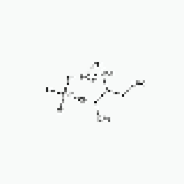 CC(=O)O.CC(=O)OCC(COC(C)=O)OC(C)=O.[O-][Cl+3]([O-])([O-])O